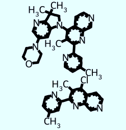 Cc1ccnc(-c2nc3cnccc3c(Cl)c2C)c1.Cc1ccnc(-c2nc3cnccc3c(N3CC(C)(C)c4ncc(N5CCOCC5)cc43)c2C)c1